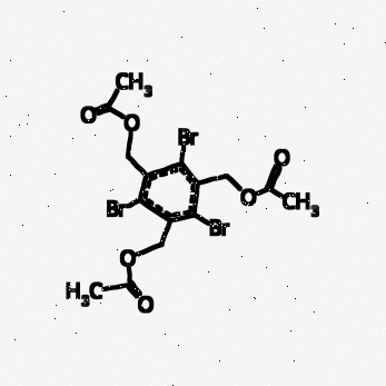 CC(=O)OCc1c(Br)c(COC(C)=O)c(Br)c(COC(C)=O)c1Br